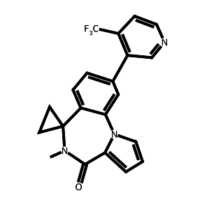 CN1C(=O)c2cccn2-c2cc(-c3cnccc3C(F)(F)F)ccc2C12CC2